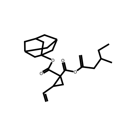 C=CC1CC1(C(=O)OC(=C)CC(C)CC)C(=O)OC12CC3CC(CC(C3)C1)C2